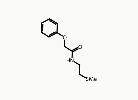 CSCCNC(=O)COc1ccccc1